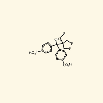 CC(c1ccc(C(=O)O)cc1)(c1ccc(C(=O)O)cc1)C(CF)(CF)CF